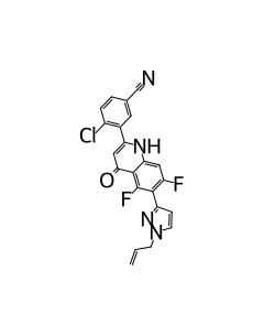 C=CCn1ccc(-c2c(F)cc3[nH]c(-c4cc(C#N)ccc4Cl)cc(=O)c3c2F)n1